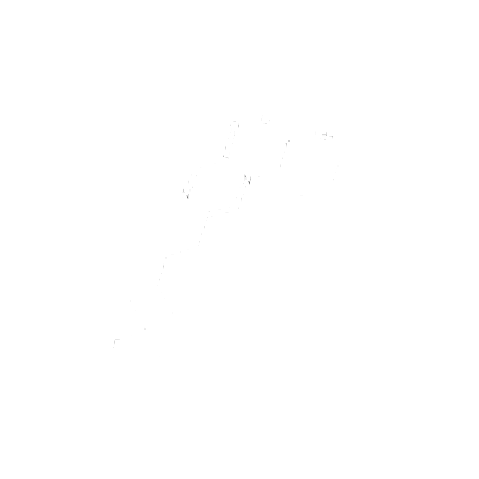 CC(C)C[C@@H](C(=O)O)n1cc(CCC2CC(C)(F)C2)ncc1=O